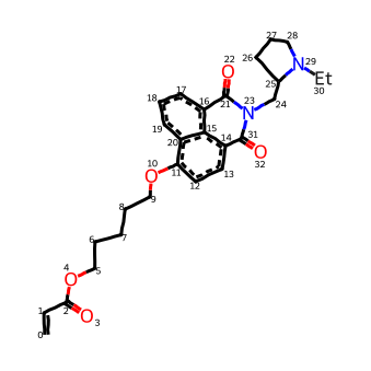 C=CC(=O)OCCCCCOc1ccc2c3c(cccc13)C(=O)N(CC1CCCN1CC)C2=O